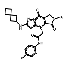 CC(C)N1Cc2c(n(CC(=O)Nc3ccc(F)cn3)c3cc(NC4CC5(CCC5)C4)nn3c2=O)C1=O